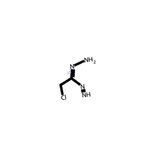 N=N/C(CCl)=N\N